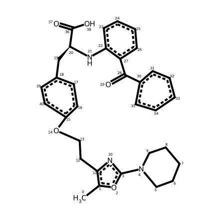 Cc1oc(N2CCCCC2)nc1CCOc1ccc(C[C@H](Nc2ccccc2C(=O)c2ccccc2)C(=O)O)cc1